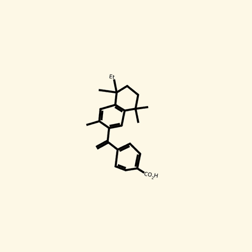 C=C(c1ccc(C(=O)O)cc1)c1cc2c(cc1C)C(C)(CC)CCC2(C)C